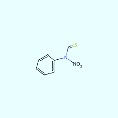 O=[N+]([O-])N(C=S)c1ccccc1